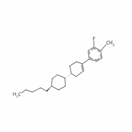 CCCCC[C@H]1CC[C@H](C2CC=C(c3ccc(C)c(F)c3)CC2)CC1